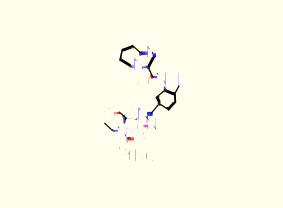 Cc1ccc(-c2noc([C@@H]3COCCN3C(=O)OC(C)(C)C)n2)cc1NC(=O)c1cnc2ccccn12